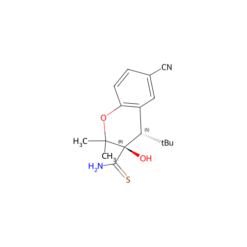 CC(C)(C)[C@H]1c2cc(C#N)ccc2OC(C)(C)[C@@]1(O)C(N)=S